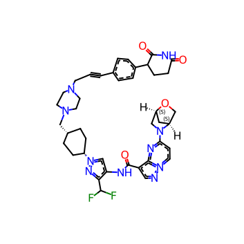 O=C1CCC(c2ccc(C#CCN3CCN(C[C@H]4CC[C@@H](n5cc(NC(=O)c6cnn7ccc(N8C[C@@H]9C[C@H]8CO9)nc67)c(C(F)F)n5)CC4)CC3)cc2)C(=O)N1